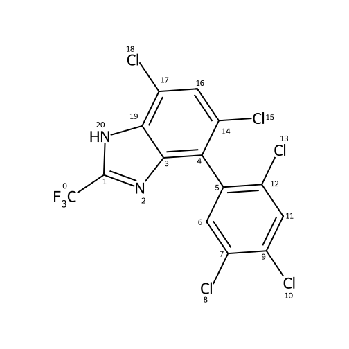 FC(F)(F)c1nc2c(-c3cc(Cl)c(Cl)cc3Cl)c(Cl)cc(Cl)c2[nH]1